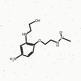 C[S+]([O-])NCCOc1ccc(N)cc1NCCO